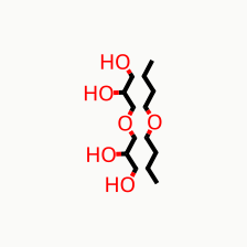 CCCCOCCCC.OCC(O)COCC(O)CO